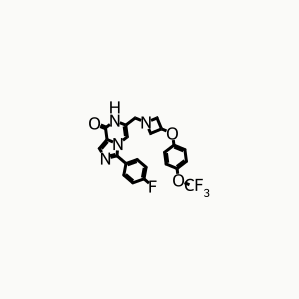 O=c1[nH]c(CN2CC(Oc3ccc(OC(F)(F)F)cc3)C2)cn2c(-c3ccc(F)cc3)ncc12